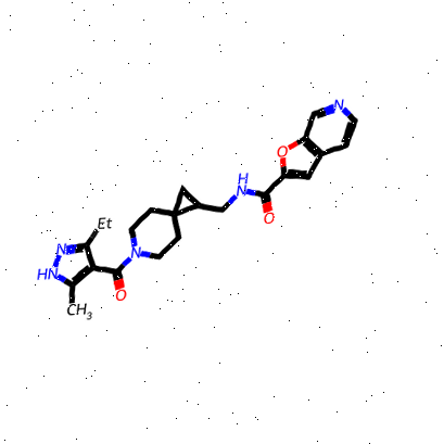 CCc1n[nH]c(C)c1C(=O)N1CCC2(CC1)CC2CNC(=O)c1cc2ccncc2o1